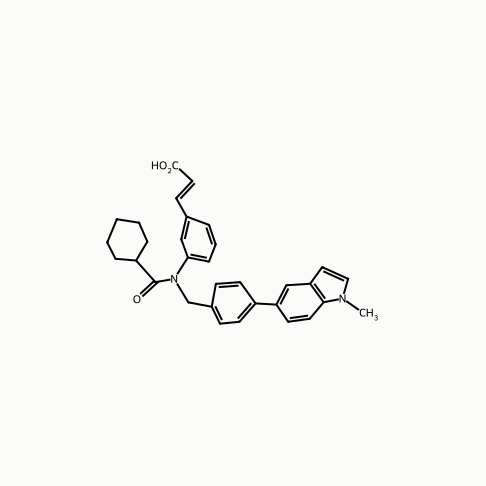 Cn1ccc2cc(-c3ccc(CN(C(=O)C4CCCCC4)c4cccc(C=CC(=O)O)c4)cc3)ccc21